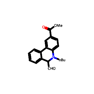 CCCCN1c2ccc(C(=O)OC)cc2-c2ccccc2C1C=O